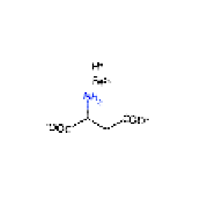 NC(CC(=O)[O-])C(=O)[O-].[Fe+2].[H+]